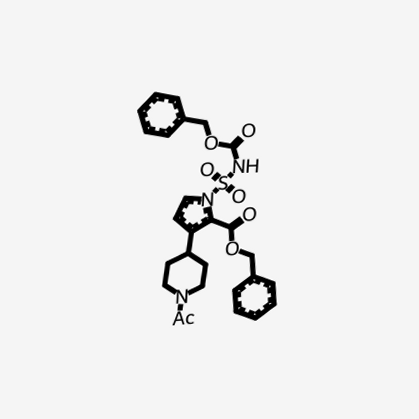 CC(=O)N1CCC(c2ccn(S(=O)(=O)NC(=O)OCc3ccccc3)c2C(=O)OCc2ccccc2)CC1